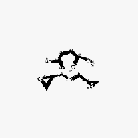 C(OCC1CO1)C1CO1.O=C(O)/C=C\C(=O)O